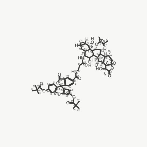 CC(=O)O[C@H]1C2C([C@@H](O)[C@H](NC(=O)CCNC(=O)c3ccc4c(c3)C(=O)OC43c4ccc(OC(=O)C(C)(C)C)cc4Oc4cc(OC(=O)C(C)(C)C)ccc43)[C@H]3C[C@@H]4O[C@@H]4[C@H](O)[C@]23C)[C@@H]2[C@@H](O)[C@@H]3[C@H]([C@H](C)[C@H]4O[C@]45OC(=O)[C@@](C)(O)[C@]35C)[C@@]2(C)[C@H]1OC(C)=O